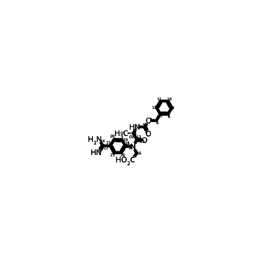 C[C@H](NC(=O)OCc1ccccc1)C(=O)N(CC(=O)O)c1ccc(C(=N)N)cc1